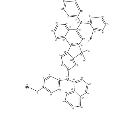 CC(C)Cc1ccc(N(c2ccc3c(c2)C(C)(C)c2cc(N(c4ccccc4)c4ccccc4F)c4ccccc4c2-3)c2cccc3ccccc23)cc1